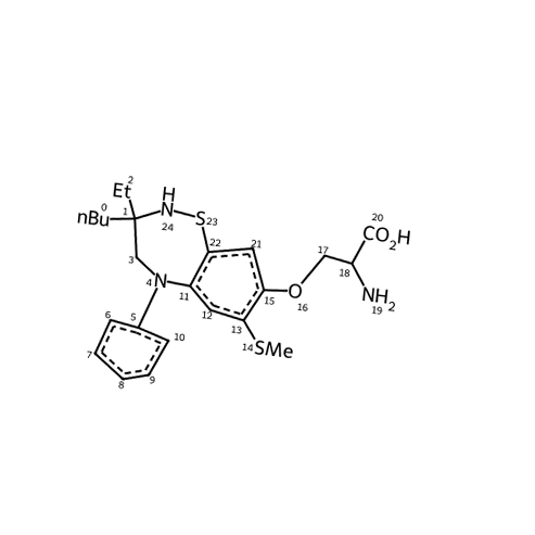 CCCCC1(CC)CN(c2ccccc2)c2cc(SC)c(OCC(N)C(=O)O)cc2SN1